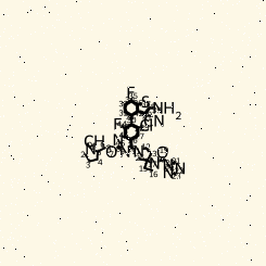 CN1CCCC1COc1nc(N2CCC3(CCN3C(=O)n3cncn3)C2)c2cc(Cl)c(-c3ccc(F)c4sc(N)c(C#N)c34)c(F)c2n1